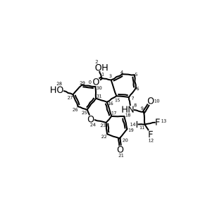 O=C(O)c1cccc(NC(=O)C(F)(F)I)c1-c1c2ccc(=O)cc-2oc2cc(O)ccc12